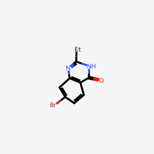 CCc1nc2cc(Br)ccc2c(=O)[nH]1